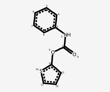 O=C(Nc1ccccc1)Oc1cccs1